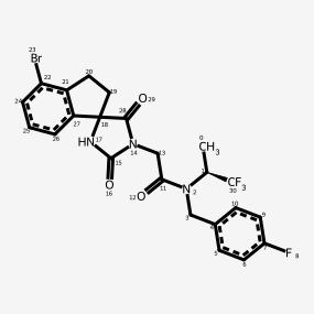 C[C@H](N(Cc1ccc(F)cc1)C(=O)CN1C(=O)NC2(CCc3c(Br)cccc32)C1=O)C(F)(F)F